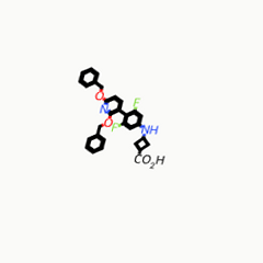 O=C(O)C1CC(Nc2cc(F)c(-c3ccc(OCc4ccccc4)nc3OCc3ccccc3)c(F)c2)C1